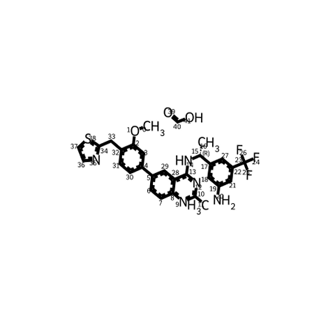 COc1cc(-c2ccc3nc(C)nc(N[C@H](C)c4cc(N)cc(C(F)(F)F)c4)c3c2)ccc1Cc1nccs1.O=CO